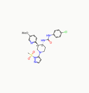 COc1ccc([C@@H]2CN(c3ccnn3S(C)(=O)=O)CC[C@H]2NC(=O)Nc2ccc(Cl)cc2)nc1